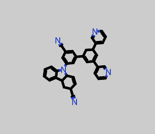 N#Cc1cc(C2=CC(c3cccnc3)=CC(c3cccnc3)C2)cc(N2c3ccccc3C3CC(C#N)C=CC32)c1